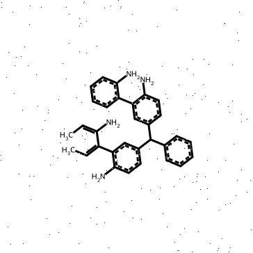 C/C=C(\C(N)=C/C)c1cc(C(c2ccccc2)c2ccc(N)c(-c3ccccc3N)c2)ccc1N